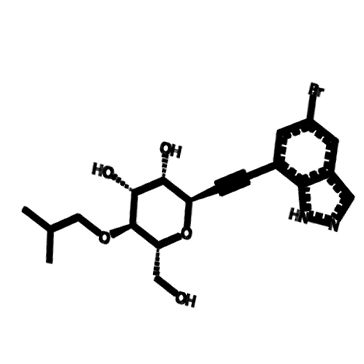 CC(C)CO[C@H]1[C@H](O)[C@H](O)[C@@H](C#Cc2cc(Br)cc3cn[nH]c23)O[C@@H]1CO